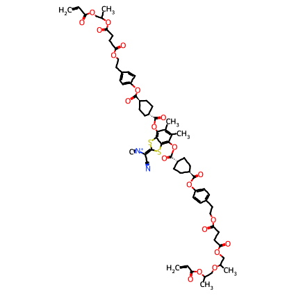 [C-]#[N+]/C(C#N)=C1/Sc2c(OC(=O)[C@H]3CC[C@H](C(=O)Oc4ccc(CCOC(=O)CCC(=O)OCC(C)OCC(C)OC(=O)C=C)cc4)CC3)c(C)c(C)c(OC(=O)[C@H]3CC[C@H](C(=O)Oc4ccc(CCOC(=O)CCC(=O)OC(C)COC(=O)C=C)cc4)CC3)c2S1